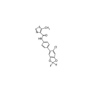 Cc1scnc1C(=O)Nc1ccc(-c2cc3c(cc2Cl)OC(F)(F)O3)cc1